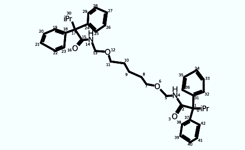 CC(C)C(C(=O)NCOCCCCCOCNC(=O)C(c1ccccc1)(c1ccccc1)C(C)C)(c1ccccc1)c1ccccc1